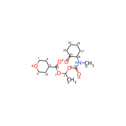 CC(OC(=O)C1CCOCC1)OC(=O)N(C)C1CCCCC1=O